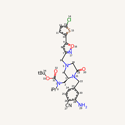 CC(C)N(C[C@H]1CN(Cc2cc(-c3ccc(Cl)s3)on2)CC(=O)N1Cc1ccc(C#N)c(N)c1)C(=O)OC(C)(C)C